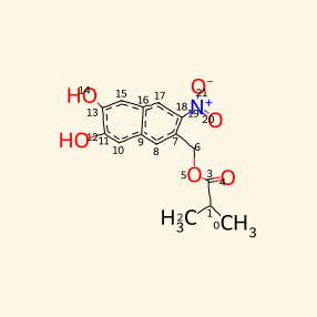 CC(C)C(=O)OCc1cc2cc(O)c(O)cc2cc1[N+](=O)[O-]